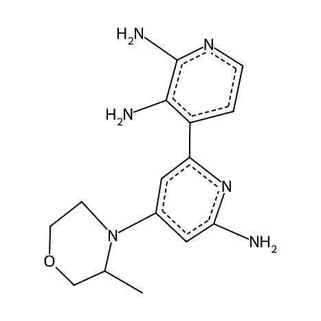 CC1COCCN1c1cc(N)nc(-c2ccnc(N)c2N)c1